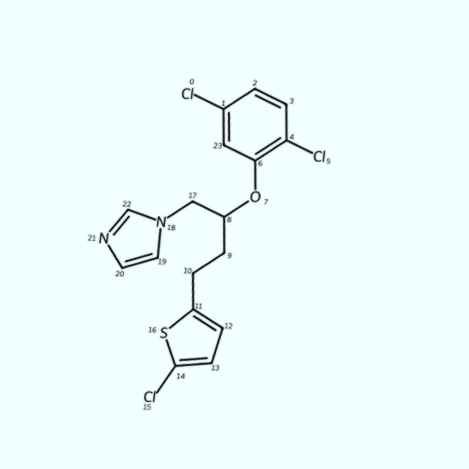 Clc1ccc(Cl)c(OC(CCc2ccc(Cl)s2)Cn2ccnc2)c1